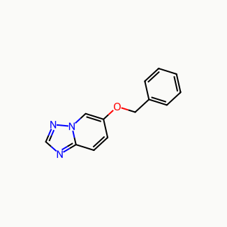 c1ccc(COc2ccc3ncnn3c2)cc1